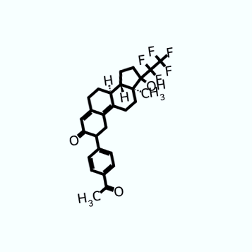 CC(=O)c1ccc(C2CC3=C4CC[C@@]5(C)[C@@H](CCC5(O)C(F)(F)C(F)(F)F)[C@@H]4CCC3=CC2=O)cc1